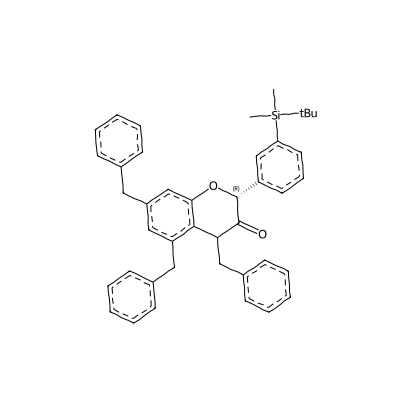 CC(C)(C)[Si](C)(C)c1cccc([C@H]2Oc3cc(Cc4ccccc4)cc(Cc4ccccc4)c3C(Cc3ccccc3)C2=O)c1